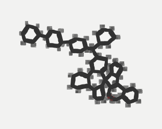 c1ccc(-c2ccc(-c3ccc(N(c4ccccc4)c4ccc5c(c4)-c4ccccc4-c4ccccc4C54c5ccccc5-c5c4c4ccccc4c4ccccc54)cc3)cc2)cc1